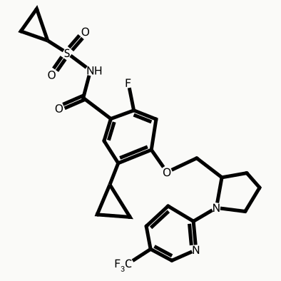 O=C(NS(=O)(=O)C1CC1)c1cc(C2CC2)c(OCC2CCCN2c2ccc(C(F)(F)F)cn2)cc1F